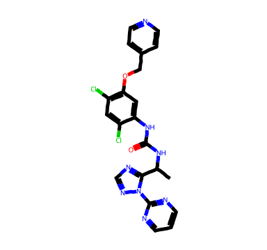 CC(NC(=O)Nc1cc(OCc2ccncc2)c(Cl)cc1Cl)c1ncnn1-c1ncccn1